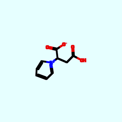 O=C(O)CC(C(=O)[O-])[n+]1ccccc1